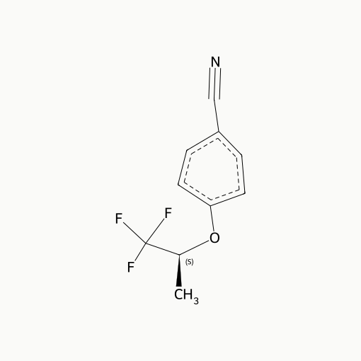 C[C@H](Oc1ccc(C#N)cc1)C(F)(F)F